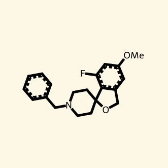 COc1cc(F)c2c(c1)COC21CCN(Cc2ccccc2)CC1